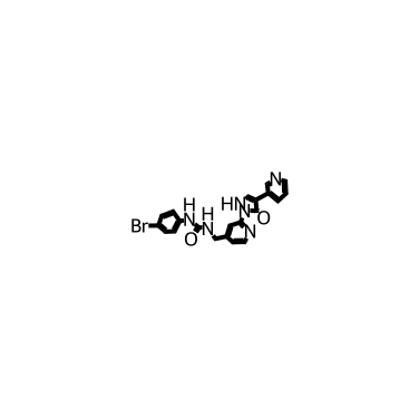 O=C(NCc1ccnc(-n2[nH]cc(-c3cccnc3)c2=O)c1)Nc1ccc(Br)cc1